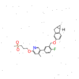 Cc1cc(OCCCS(C)(=O)=O)ncc1-c1ccc(F)c(COc2ccc3c(c2)CC2[C@H](C)[C@@H]32)c1